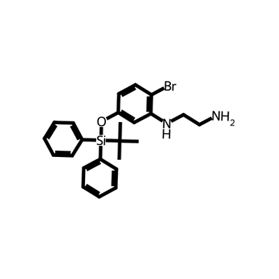 CC(C)(C)[Si](Oc1ccc(Br)c(NCCN)c1)(c1ccccc1)c1ccccc1